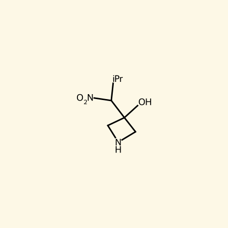 CC(C)C([N+](=O)[O-])C1(O)CNC1